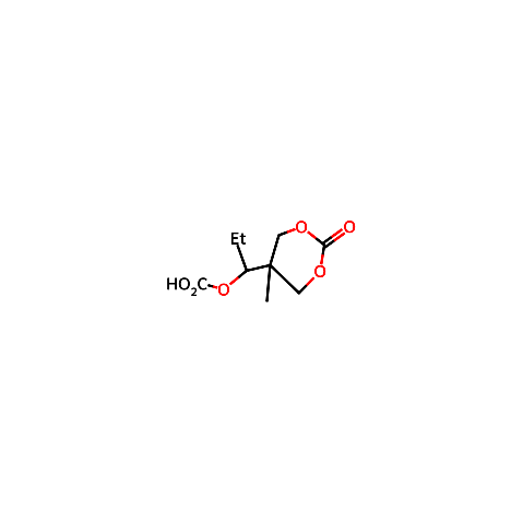 CCC(OC(=O)O)C1(C)COC(=O)OC1